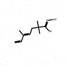 C=C/C(C)=C/CC(C)(C)C(=NO)C(C)C